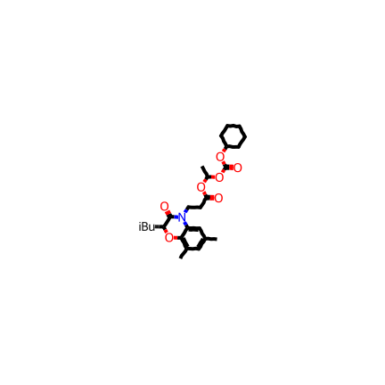 CCC(C)C1Oc2c(C)cc(C)cc2N(CCC(=O)OC(C)OC(=O)OC2CCCCC2)C1=O